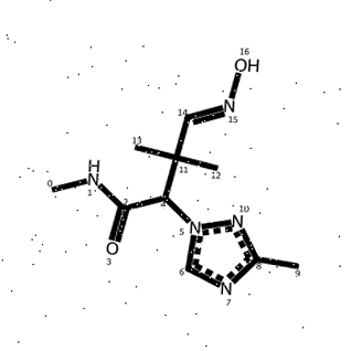 CNC(=O)C(n1cnc(C)n1)C(C)(C)C=NO